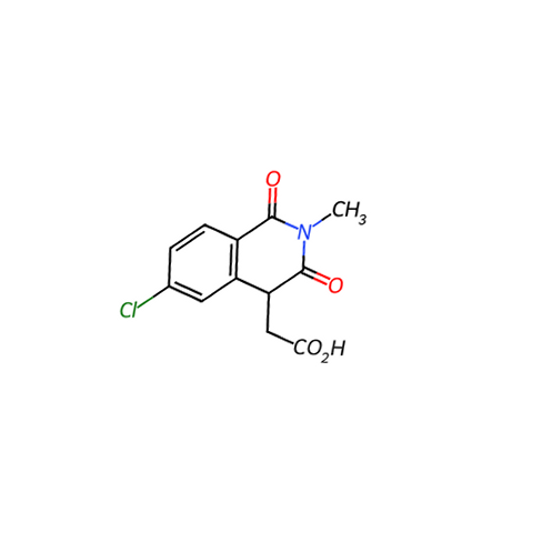 CN1C(=O)c2ccc(Cl)cc2C(CC(=O)O)C1=O